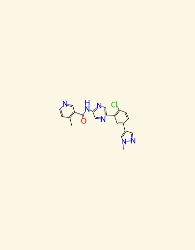 Cc1ccncc1C(=O)Nc1cnc(-c2cc(-c3cnn(C)c3)ccc2Cl)cn1